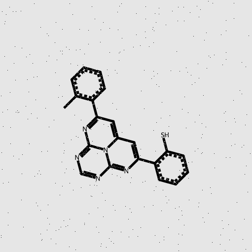 Cc1ccccc1C1=NC2=NC=NC3=NC(c4ccccc4S)=CC(=C1)N23